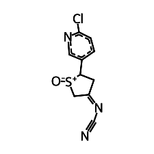 N#CN=C1CC(c2ccc(Cl)nc2)[S+]([O-])C1